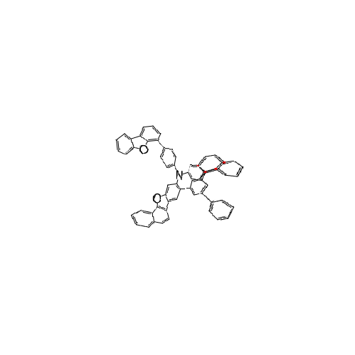 c1ccc(-c2ccc(N(c3ccc(-c4cccc5c4oc4ccccc45)cc3)c3cc4oc5c6ccccc6ccc5c4cc3-c3cc(-c4ccccc4)cc(-c4ccccc4)c3)cc2)cc1